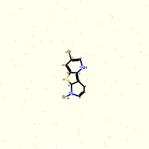 BrC1=CNC2=C3CC=CN(Br)C3SC2=C1